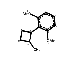 COc1cccc(OC)c1C1CCC1C